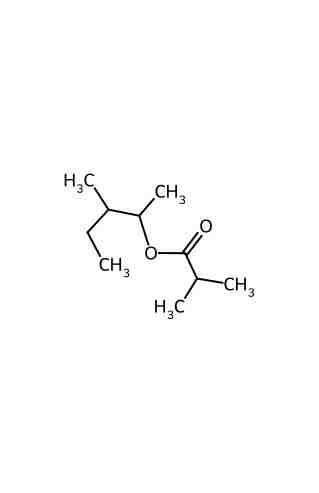 CCC(C)C(C)OC(=O)C(C)C